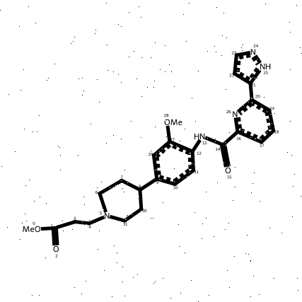 COC(=O)CCN1CCC(c2ccc(NC(=O)c3cccc(-c4ccn[nH]4)n3)c(OC)c2)CC1